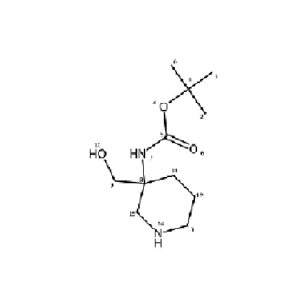 CC(C)(C)OC(=O)NC1(CO)CCCNC1